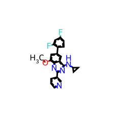 COc1cc(-c2ccc(F)cc2F)cc2c(NC3CC3)nc(-c3cccnc3)nc12